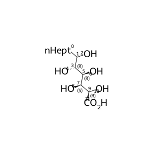 CCCCCCCC(O)[C@@H](O)[C@@H](O)[C@H](O)[C@@H](O)C(=O)O